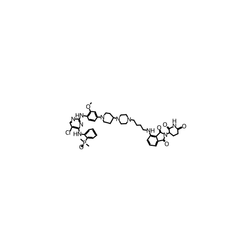 COc1cc(N2CCC(N3CCN(CCCCNc4cccc5c4C(=O)N(C4CCC(=O)NC4=O)C5=O)CC3)CC2)ccc1Nc1ncc(Cl)c(Nc2ccccc2P(C)(C)=O)n1